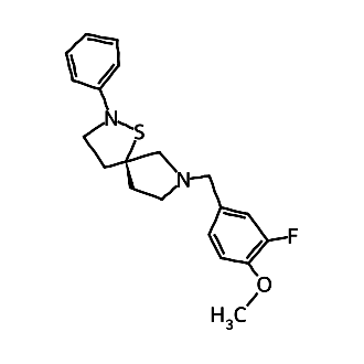 COc1ccc(CN2CC[C@]3(CCN(c4ccccc4)S3)C2)cc1F